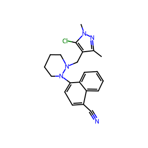 Cc1nn(C)c(Cl)c1CN1CCCCN1c1ccc(C#N)c2ccccc12